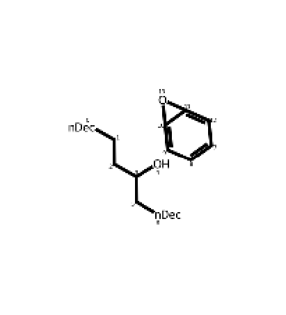 CCCCCCCCCCCCC(O)CCCCCCCCCCC.c1ccc2c(c1)O2